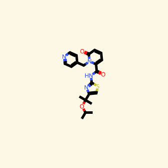 CC(C)OC(C)(C)c1csc(NC(=O)c2cccc(=O)n2Cc2ccncc2)n1